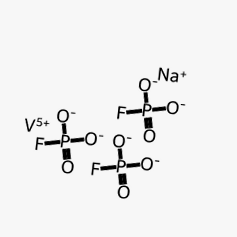 O=P([O-])([O-])F.O=P([O-])([O-])F.O=P([O-])([O-])F.[Na+].[V+5]